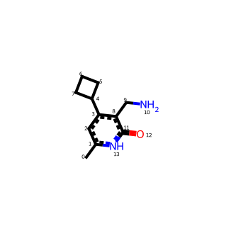 Cc1cc(C2CCC2)c(CN)c(=O)[nH]1